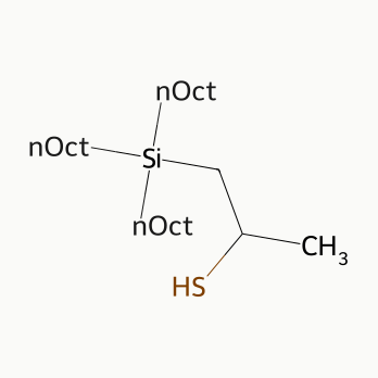 CCCCCCCC[Si](CCCCCCCC)(CCCCCCCC)CC(C)S